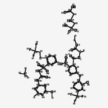 CCOC(=O)C(C)OC(=O)c1cc(Oc2ccc(C(F)(F)F)cc2Cl)ccc1[N+](=O)[O-].COc1nc(C)nc(NC(=O)NS(=O)(=O)c2ccccc2CCC(F)(F)F)n1.C[S+](C)C.O=C(O)CNCP(=O)([O-])O